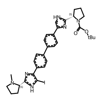 CN1CCC[C@H]1c1nc(-c2ccc(-c3ccc(-c4c[nH]c([C@@H]5CCCN5C(=O)OC(C)(C)C)n4)cc3)cc2)c(I)[nH]1